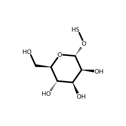 OC[C@H]1O[C@H](OS)[C@@H](O)[C@@H](O)[C@@H]1O